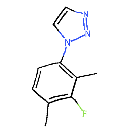 Cc1ccc(-n2ccnn2)c(C)c1F